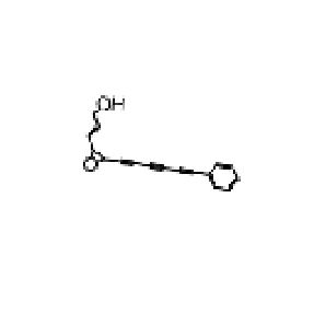 OCC=CC1OC1C#CC#CC#Cc1ccccc1